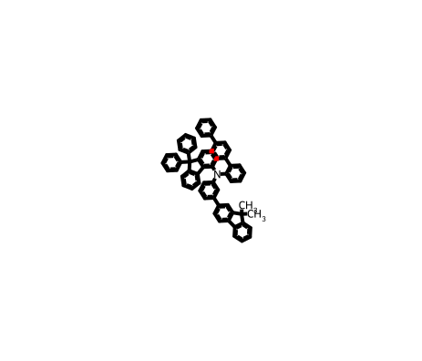 CC1(C)c2ccccc2-c2ccc(-c3cccc(N(c4ccccc4-c4ccc(-c5ccccc5)cc4)c4cccc5c4-c4ccccc4C5(c4ccccc4)c4ccccc4)c3)cc21